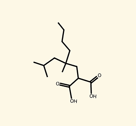 CCCCC(C)(CC(C)C)CC(C(=O)O)C(=O)O